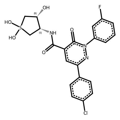 O=C(N[C@@H]1CS(O)(O)C[C@@H]1O)c1cc(-c2ccc(Cl)cc2)nn(-c2cccc(F)c2)c1=O